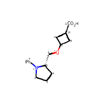 CC(C)N1CCC[C@H]1COC1CC(C(=O)O)C1